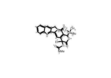 CCC1(OC(=O)NC)C(=O)OC([Si](C)(C)C(C)(C)C)c2c1cc1n(c2=O)Cc2cc3ccccc3nc2-1